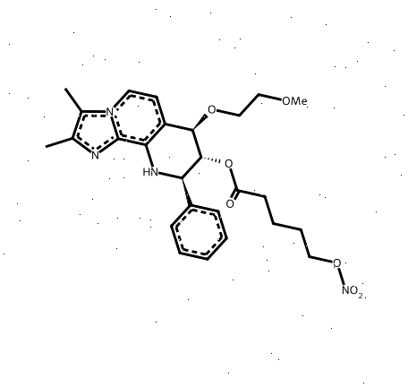 COCCO[C@@H]1c2ccn3c(C)c(C)nc3c2N[C@H](c2ccccc2)[C@H]1OC(=O)CCCCO[N+](=O)[O-]